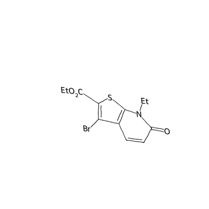 CCOC(=O)c1sc2c(ccc(=O)n2CC)c1Br